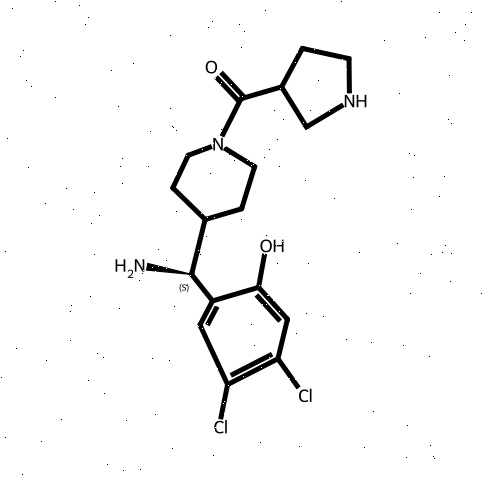 N[C@H](c1cc(Cl)c(Cl)cc1O)C1CCN(C(=O)C2CCNC2)CC1